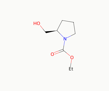 CCOC(=O)N1CCC[C@@H]1CO